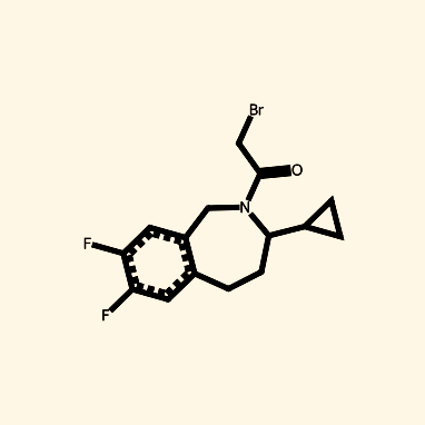 O=C(CBr)N1Cc2cc(F)c(F)cc2CCC1C1CC1